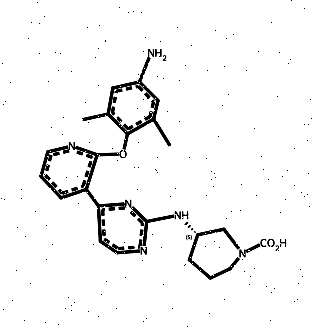 Cc1cc(N)cc(C)c1Oc1ncccc1-c1ccnc(N[C@H]2CCCN(C(=O)O)C2)n1